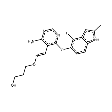 Cc1cc2c(F)c(Oc3ncnc(N)c3/C=N/OCCCO)ccc2[nH]1